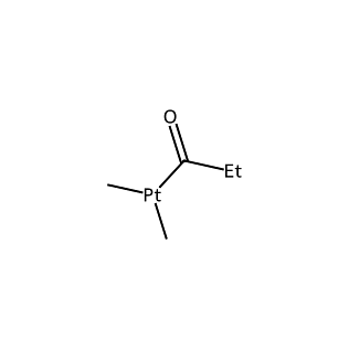 CC[C](=O)[Pt]([CH3])[CH3]